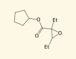 CCC1OC1(CC)C(=O)OC1CCCC1